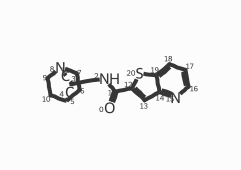 O=C(NC1CC2CCN(CC2)C1)c1cc2ncccc2s1